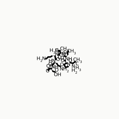 CC(C)C[C@H](NC(=O)[C@@H]1CCCN1C(=O)[C@@H](N)C(C)C)C(=O)N[C@H](C(=O)N[C@@H](CCCCN)C(=O)N[C@@H](CCC(N)=O)C(=O)N[C@@H](CC(=O)O)C(=O)O)C(C)C